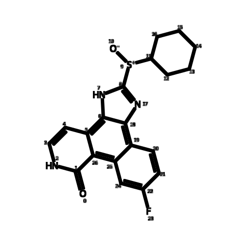 O=c1[nH]ccc2c3[nH]c([S+]([O-])C4CCCCC4)nc3c3ccc(F)cc3c12